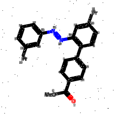 COC(=O)c1ccc(-c2ccc(C(C)C)cc2/N=N/c2cccc(C(C)C)c2)cc1